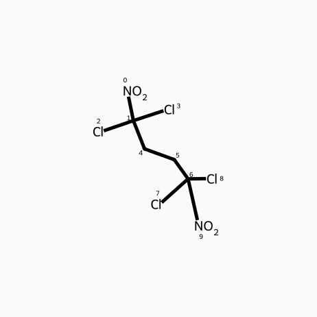 O=[N+]([O-])C(Cl)(Cl)CCC(Cl)(Cl)[N+](=O)[O-]